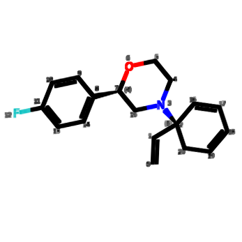 C=C[C@]1(N2CCO[C@H](c3ccc(F)cc3)C2)C=CC=CC1